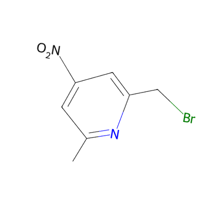 Cc1cc([N+](=O)[O-])cc(CBr)n1